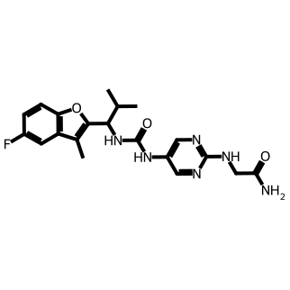 Cc1c(C(NC(=O)Nc2cnc(NCC(N)=O)nc2)C(C)C)oc2ccc(F)cc12